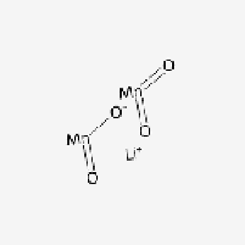 [Li+].[O]=[Mn]=[O].[O]=[Mn][O-]